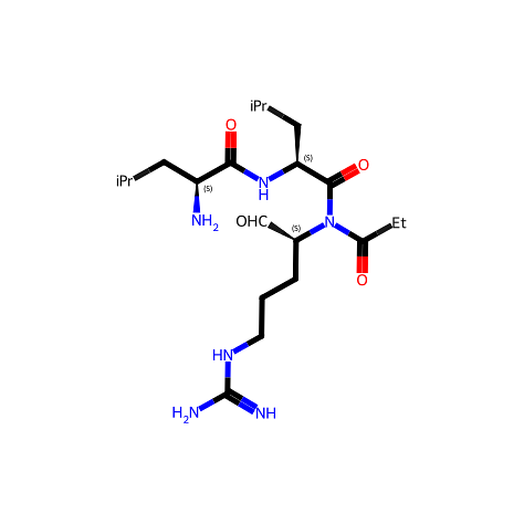 CCC(=O)N(C(=O)[C@H](CC(C)C)NC(=O)[C@@H](N)CC(C)C)[C@H](C=O)CCCNC(=N)N